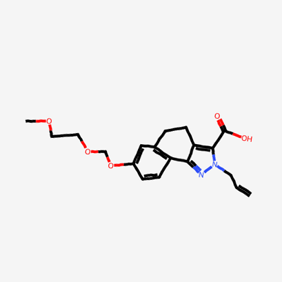 C=CCn1nc2c(c1C(=O)O)CCc1cc(OCOCCOC)ccc1-2